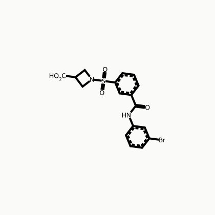 O=C(Nc1cccc(Br)c1)c1cccc(S(=O)(=O)N2CC(C(=O)O)C2)c1